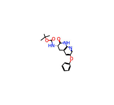 CC(C)(C)OC(=O)N[C@H]1Cc2cc(Oc3ccccc3)cnc2NC1=O